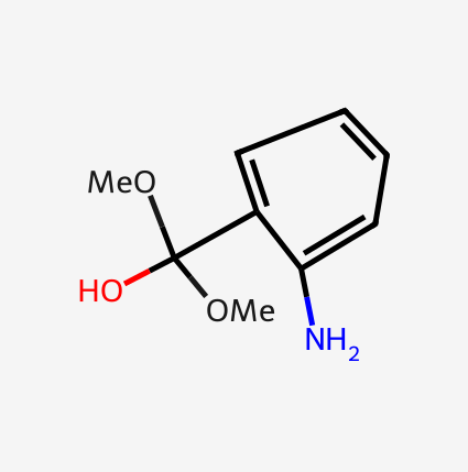 COC(O)(OC)c1ccccc1N